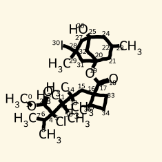 COC(=O)C(Cl)(C(C)C)C(C)(C)C(C)(C)CC1(C(=O)OC23CC(C)CC(O)(CC(C)(I)C2)C3)CCC1C